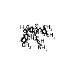 Cc1ccc(CC(N)C(=O)N2C[C@@H](C)N(C(=O)C(N)Cc3ccc(C)cc3C)C[C@@H]2CCCCNCCN)c(C)c1